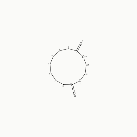 O=C1CCCCCCCC(=O)OCCO1